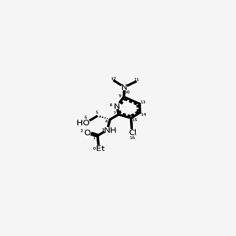 CCC(=O)N[C@H](CO)c1nc(N(C)C)ccc1Cl